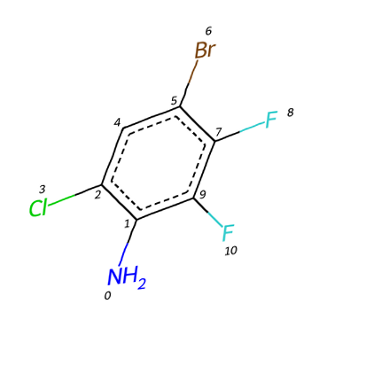 Nc1c(Cl)cc(Br)c(F)c1F